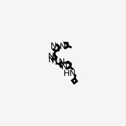 Cc1ccn(-c2cncc(-c3cn(Cc4cn5cc(CNCC6CCC6)ccc5n4)nn3)c2)c1